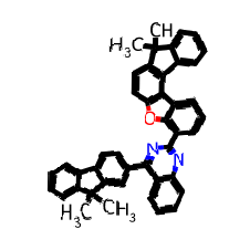 CC1(C)c2ccccc2-c2ccc(-c3nc(-c4cccc5c4oc4ccc6c(c45)-c4ccccc4C6(C)C)nc4ccccc34)cc21